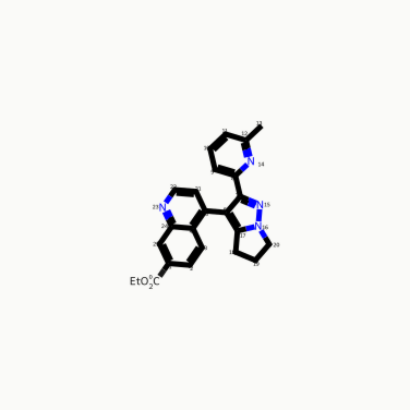 CCOC(=O)c1ccc2c(-c3c(-c4cccc(C)n4)nn4c3CCC4)ccnc2c1